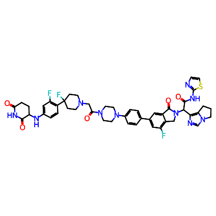 O=C1CCC(Nc2ccc(C3(F)CCN(CC(=O)N4CCN(c5ccc(-c6cc(F)c7c(c6)C(=O)N(C(C(=O)Nc6nccs6)c6ncn8c6CCC8)C7)cc5)CC4)CC3)c(F)c2)C(=O)N1